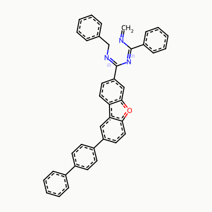 C=N/C(=N\C(=N/Cc1ccccc1)c1ccc2c(c1)oc1ccc(-c3ccc(-c4ccccc4)cc3)cc12)c1ccccc1